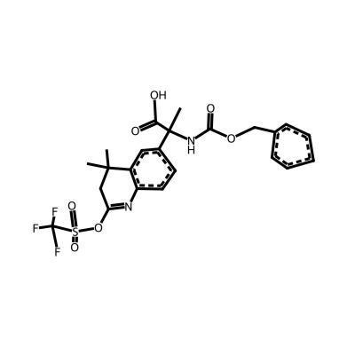 CC1(C)CC(OS(=O)(=O)C(F)(F)F)=Nc2ccc(C(C)(NC(=O)OCc3ccccc3)C(=O)O)cc21